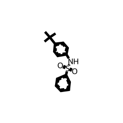 CC(C)(C)c1ccc(NS(=O)(=O)c2ccccc2)cc1